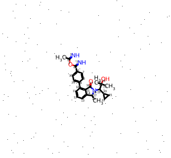 CC(=N)OC(=N)c1ccc(-c2cccc3c2C(=O)N(C(C2CC2)C(C)(C)O)C3C)cc1